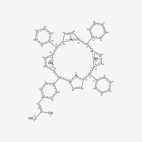 N#C/C(=C\c1ccc(-c2c3nc(c(-c4ccccc4)c4ccc([nH]4)c(-c4ccccc4)c4nc(c(-c5ccccc5)c5ccc2[nH]5)C=C4)C=C3)cc1)C(=O)O